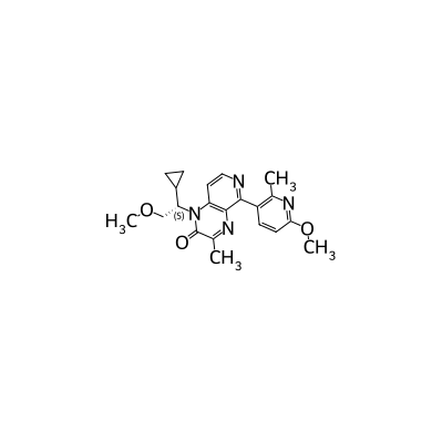 COC[C@H](C1CC1)n1c(=O)c(C)nc2c(-c3ccc(OC)nc3C)nccc21